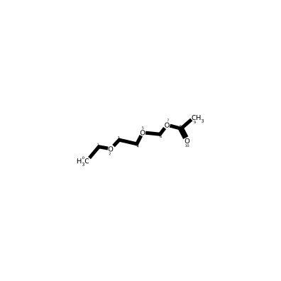 CCOCCOCOC(C)=O